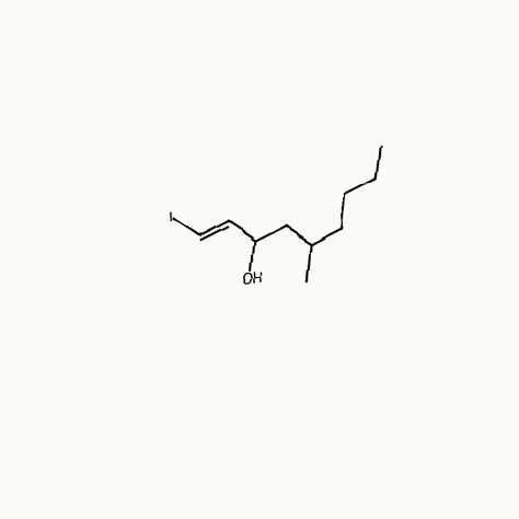 CCCCC(C)CC(O)C=CI